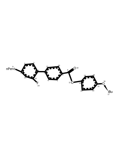 CCCCCc1ccc(-c2ccc(C(=O)Oc3ccc(O[C@H](C)CC)cc3)cc2)c(F)c1